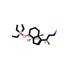 CC[Si](CC)(CC)O[C@H]1CCC[C@]2(C)C([C@H](C)CCI)=CC[C@@H]12